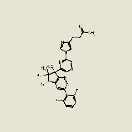 CC[C@H]1c2cc(-c3c(F)cccc3F)nnc2[C@](C)(c2cncc(-n3cnc(CCC(N)=O)n3)n2)C1(C)C